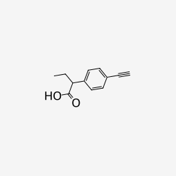 C#Cc1ccc(C(CC)C(=O)O)cc1